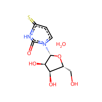 O.O=c1[nH]c(=S)ccn1[C@@H]1O[C@H](CO)[C@@H](O)[C@H]1O